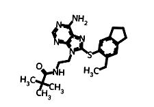 CCc1cc2c(cc1Sc1nc3c(N)ncnc3n1CCNC(=O)C(C)(C)C)CCC2